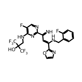 N=C(/C=C(\NCc1ccccc1F)c1ncco1)c1ncc(F)c(NCC(O)(C(F)(F)F)C(F)(F)F)n1